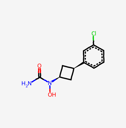 NC(=O)N(O)[C@H]1C[C@@H](c2cccc(Cl)c2)C1